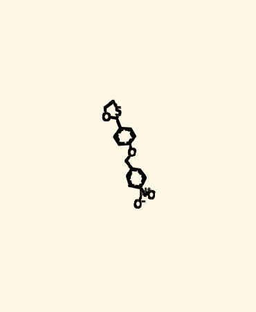 O=[N+]([O-])c1ccc(COc2ccc(C3OCCS3)cc2)cc1